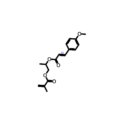 C=C(C)C(=O)OCC(C)OC(=O)/C=C/c1ccc(OC)cc1